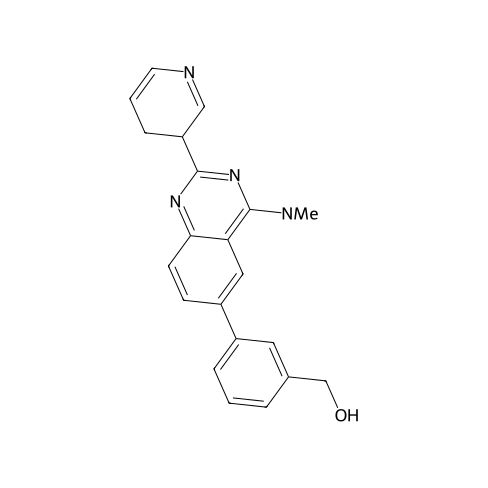 CNc1nc(C2C=NC=CC2)nc2ccc(-c3cccc(CO)c3)cc12